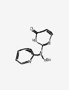 CCCCN(c1ccccn1)c1nccc(=O)[nH]1